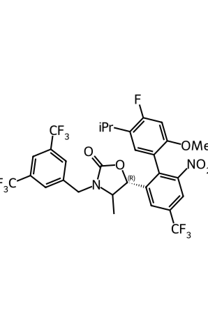 COc1cc(F)c(C(C)C)cc1-c1c([C@H]2OC(=O)N(Cc3cc(C(F)(F)F)cc(C(F)(F)F)c3)C2C)cc(C(F)(F)F)cc1[N+](=O)[O-]